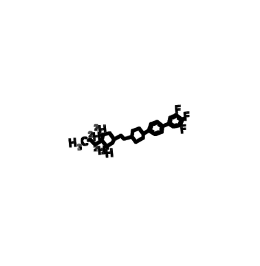 [2H]C1([2H])CC(CCC2CCC(c3ccc(-c4cc(F)c(F)c(F)c4)cc3)CC2)CC([2H])([2H])C1CCC